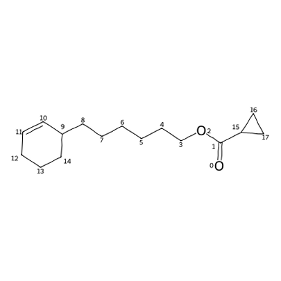 O=C(OCCCCCCC1C=CCCC1)C1CC1